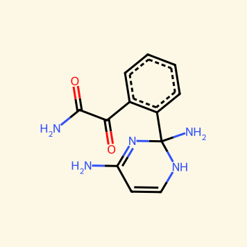 NC(=O)C(=O)c1ccccc1C1(N)N=C(N)C=CN1